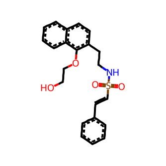 O=S(=O)(C=Cc1ccccc1)NCCc1ccc2ccccc2c1OCCO